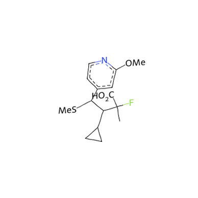 COc1cc(C(SC)C(C2CC2)C(C)(F)C(=O)O)ccn1